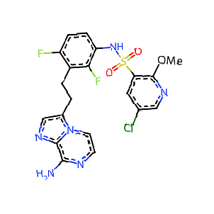 COc1ncc(Cl)cc1S(=O)(=O)Nc1ccc(F)c(CCc2cnc3c(N)nccn23)c1F